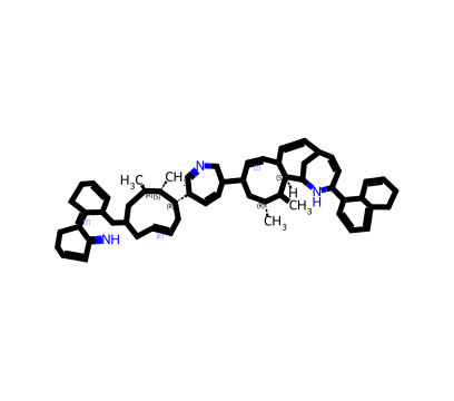 CC1[C@H]2C(C=CC3C=CC(C4C=CC=C5CCC=CC54)NC2C3)/C=C\C(C2C=CC([C@@H]3C/C=C/CC(CC4C=CCC/C4=C4\CCC=CC4=N)C[C@@H](C)[C@@H]3C)C=NC2)C[C@H]1C